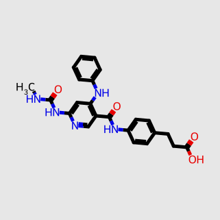 CNC(=O)Nc1cc(Nc2ccccc2)c(C(=O)Nc2ccc(CCC(=O)O)cc2)cn1